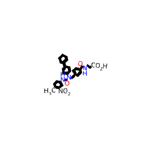 Cc1ccc(NC(=O)N(Cc2ccc(C(=O)NCCC(=O)O)cc2)c2ccc(C3=CCCCC3)cc2)cc1[N+](=O)[O-]